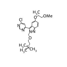 COC[C@@H](C)Oc1ccc2nn(COCC[Si](C)(C)C)c(-c3cc(Cl)ncn3)c2c1